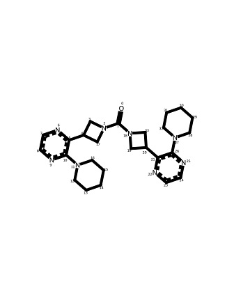 O=C(N1CC(c2nccnc2N2CCCCC2)C1)N1CC(c2nccnc2N2CCCCC2)C1